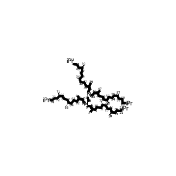 CC(=CCN(CC=C(C)CCC[C@H](C)CCC[C@H](C)CCCC(C)C)CCN(CC=C(C)CCC[C@H](C)CCC[C@H](C)CCCC(C)C)CC=C(C)CCC[C@H](C)CCC[C@H](C)CCCC(C)C)CCC[C@H](C)CCC[C@H](C)CCCC(C)C